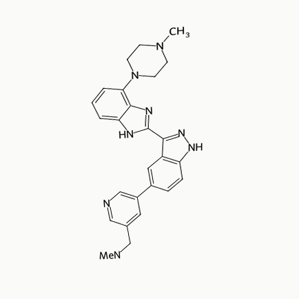 CNCc1cncc(-c2ccc3[nH]nc(-c4nc5c(N6CCN(C)CC6)cccc5[nH]4)c3c2)c1